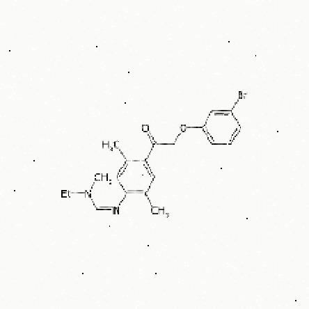 CCN(C)/C=N\c1cc(C)c(C(=O)COc2cccc(Br)c2)cc1C